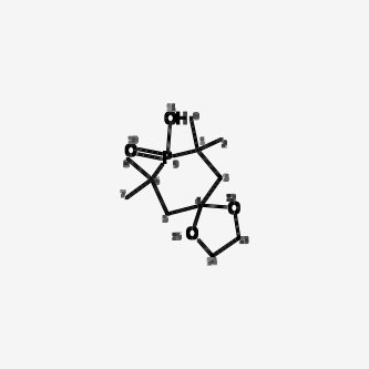 CC1(C)CC2(CC(C)(C)P1(=O)O)OCCO2